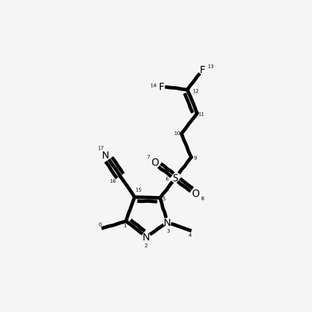 Cc1nn(C)c(S(=O)(=O)CCC=C(F)F)c1C#N